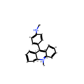 CNc1ccc(-c2c3ccccc3[n+](C)c3ccccc23)cc1